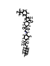 Cc1cc(S(=O)(=O)NCC(F)(F)C(F)(F)C(F)(F)F)ccc1/C=C/S(=O)(=O)N1CCC2(CC1)N=C(c1cccc(C(F)(F)F)c1)NC2=O